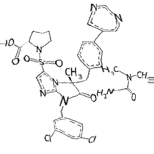 CN(C)C(N)=O.C[C@@]1(Cc2ccc(-c3cncnc3)cc2)C(=O)N(c2cc(Cl)cc(Cl)c2)c2ncc(S(=O)(=O)N3CCC[C@H]3C(=O)O)n21